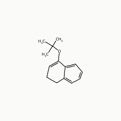 CC(C)(C)OC1=CCCc2ccccc21